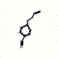 C=CCCc1ccc(C#N)cc1